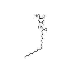 CCCCCC/C=C/C=C\CCCCCCCC(=O)NCc1ccc(O)c(OC)c1